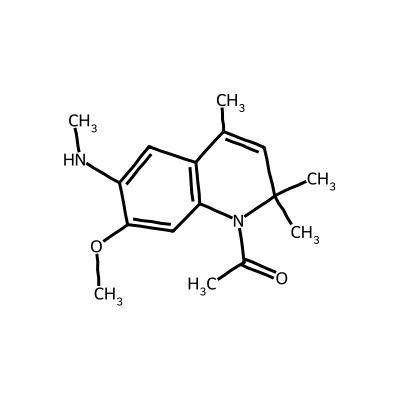 CNc1cc2c(cc1OC)N(C(C)=O)C(C)(C)C=C2C